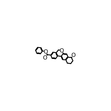 O=C(Oc1ccccc1)c1ccc2c(c1)COc1cc3c(cc1-2)CCCC3=O